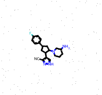 N#Cc1n[nH]cc1C1CC(c2ccc(F)cc2)CC1N1CCCC(N)C1